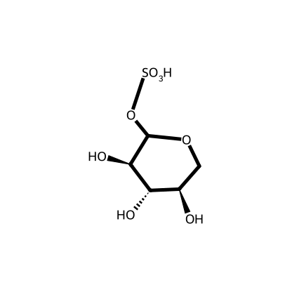 O=S(=O)(O)OC1OC[C@@H](O)[C@H](O)[C@H]1O